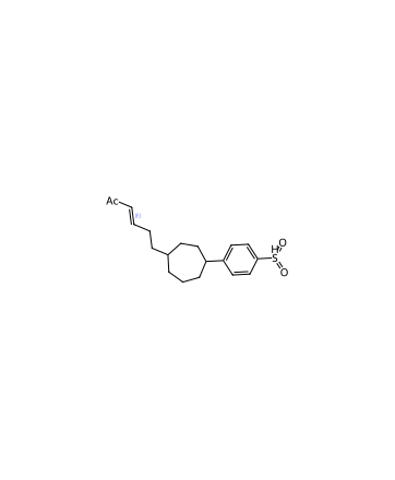 CC(=O)/C=C/CCC1CCCC(c2ccc([SH](=O)=O)cc2)CC1